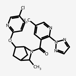 Cc1cnc(-n2nccn2)c(C(=O)N2C(C)C3CC(Oc4ccc(Cl)cn4)C2C3)c1